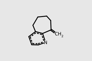 C=C1CCCCc2cccnc21